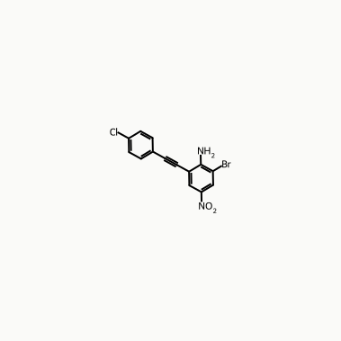 Nc1c(Br)cc([N+](=O)[O-])cc1C#Cc1ccc(Cl)cc1